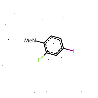 CNc1ccc(I)cc1F